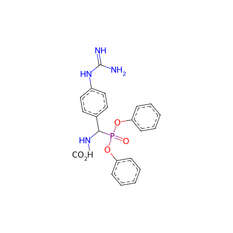 N=C(N)Nc1ccc(C(NC(=O)O)P(=O)(Oc2ccccc2)Oc2ccccc2)cc1